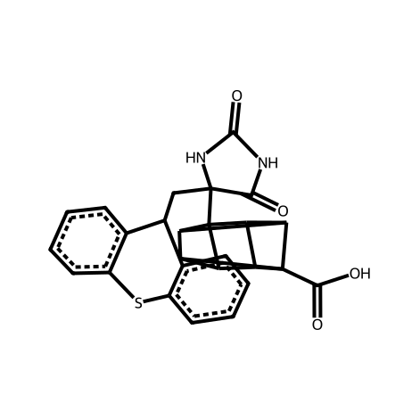 O=C1NC(=O)C(CC2c3ccccc3Sc3ccccc32)(C23C4C5C2C2C3C4C52C(=O)O)N1